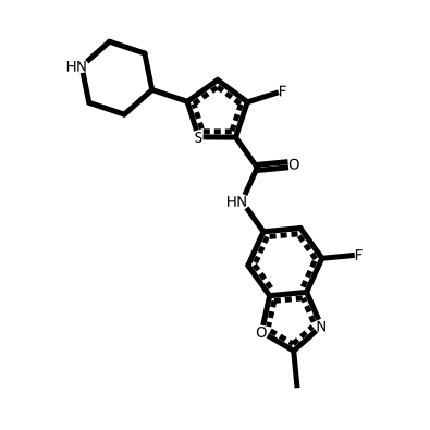 Cc1nc2c(F)cc(NC(=O)c3sc(C4CCNCC4)cc3F)cc2o1